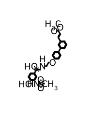 COC(=O)C=Cc1cccc(-c2ccc(OCCNC[C@H](O)c3ccc(O)c(NS(C)(=O)=O)c3)cc2)c1